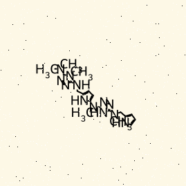 CN(C)c1nnc(NCc2ccc(N(C)c3nnc(N(C)Cc4ccc[nH]4)[nH]3)[nH]2)n1C